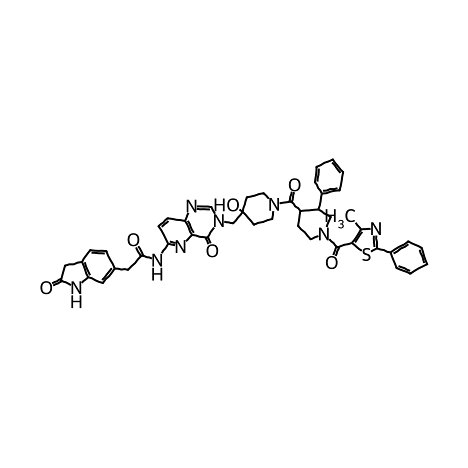 Cc1nc(-c2ccccc2)sc1C(=O)N1CCC(C(=O)N2CCC(O)(Cn3cnc4ccc(NC(=O)Cc5ccc6c(c5)NC(=O)C6)nc4c3=O)CC2)C(c2ccccc2)C1